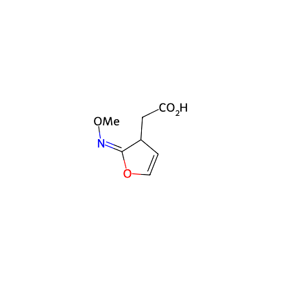 CON=C1OC=CC1CC(=O)O